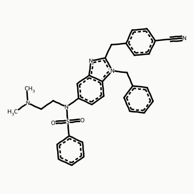 CN(C)CCN(c1ccc2c(c1)nc(Cc1ccc(C#N)cc1)n2Cc1ccccc1)S(=O)(=O)c1ccccc1